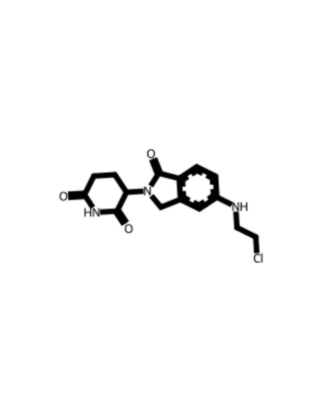 O=C1CCC(N2Cc3cc(NCCCl)ccc3C2=O)C(=O)N1